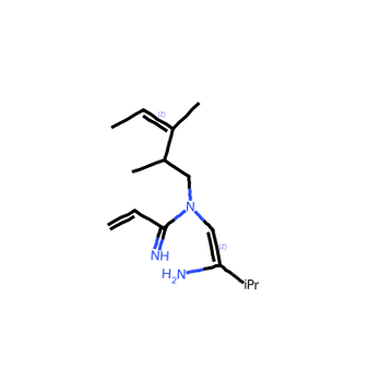 C=CC(=N)N(/C=C(\N)C(C)C)CC(C)/C(C)=C\C